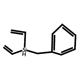 C=C[SiH](C=C)Cc1ccccc1